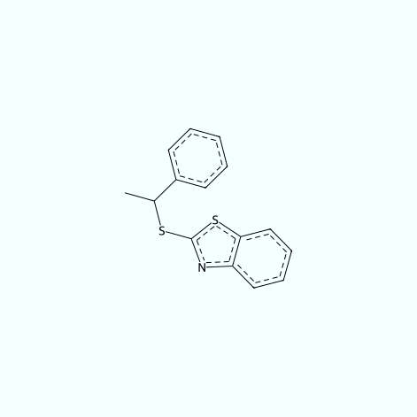 CC(Sc1nc2ccccc2s1)c1ccccc1